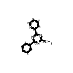 Cc1nc(-c2ccccc2)nc(-c2ccccn2)n1